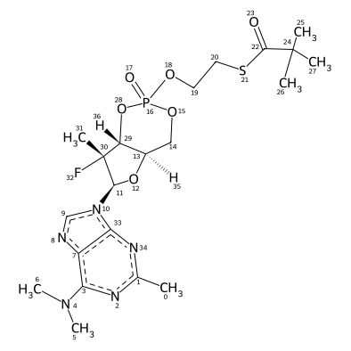 Cc1nc(N(C)C)c2ncn([C@@H]3O[C@@H]4COP(=O)(OCCSC(=O)C(C)(C)C)O[C@H]4[C@@]3(C)F)c2n1